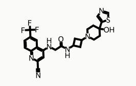 N#Cc1cc(NCC(=O)NC2CC(N3CCC(O)(c4cncs4)CC3)C2)c2cc(C(F)(F)F)ccc2n1